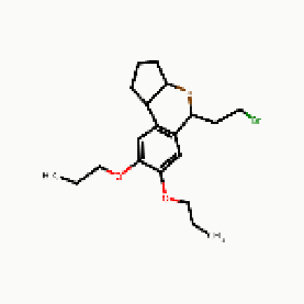 CCCOc1cc2c(cc1OCCC)C1CCCC1SC2CCBr